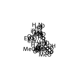 CCCCC(I)(CC)C1CC(=O)N(CCC(=O)N[C@H](C(=O)N[C@@H](CCCNC(N)=O)C(=O)Nc2ccc(CNC(=O)[C@]3(O)Cc4c(O)c5c(c(O)c4[C@@H](O[C@H]4C[C@H]6[C@H](O[C@@H]7[C@@H](OC)OCCN76)[C@H](C)O4)C3)C(=O)c3c(OC)cccc3C5=O)cc2)C(C)C)C1=O